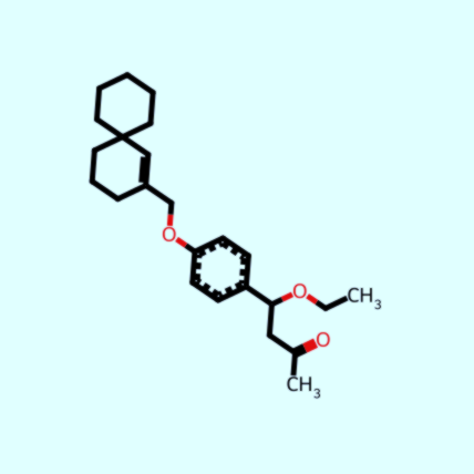 CCOC(CC(C)=O)c1ccc(OCC2=CC3(CCCCC3)CCC2)cc1